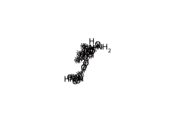 CC(OCc1ccc(CCCOCCOCCCc2ccc3c(c2)n(C)c(=O)n3C2CCC(=O)NC2=O)cc1)C(CCC(N)=O)NC(=O)[C@@H]1Cc2cccc3c2N1C(=O)[C@@H](NC(=O)OCC1c2ccccc2-c2ccccc21)CC3